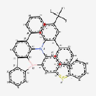 CC(C)(C)c1ccc(N2c3cc4c(cc3B3c5ccccc5-c5ccc(-c6ccccc6)c2c53)sc2ccccc24)c(-c2ccccc2)c1